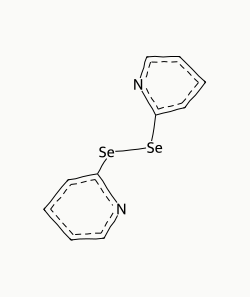 c1ccc([Se][Se]c2ccccn2)nc1